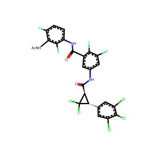 CC(=O)Nc1c(F)ccc(NC(=O)c2cc(NC(=O)[C@H]3[C@H](c4cc(Cl)c(Cl)c(Cl)c4)C3(Cl)Cl)cc(F)c2F)c1F